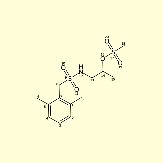 Cc1cccc(C)c1CS(=O)(=O)NCC(C)OS(C)(=O)=O